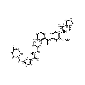 COc1nc(Nc2cccc3c2OC(CNC(=O)c2ccc(CN4CCN(C)CC4)o2)CO3)ccc1NC(=O)[C@H]1CCCN1